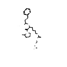 O=C(NCCCCC(NC(CCc1ccccc1)C(=O)O)C(=O)N1CCCC1C(=O)O)OCON(O)O